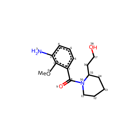 COc1c(N)cccc1C(=O)N1CCCCC1CCO